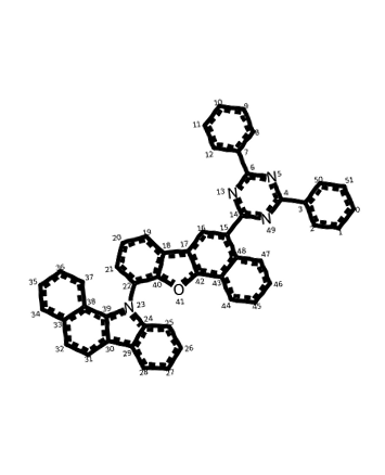 c1ccc(-c2nc(-c3ccccc3)nc(-c3cc4c5cccc(-n6c7ccccc7c7ccc8ccccc8c76)c5oc4c4ccccc34)n2)cc1